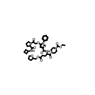 CCOC(=O)N1CCN(C(=O)C(CCC(=O)OCC2CCCO2)NC(=O)c2cc(OCC(=O)N3CCCC3C(=O)NC3CCC3)n(-c3ccccc3)n2)CC1